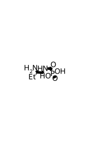 CC[C@H](N)CNC(=O)P(=O)(O)O